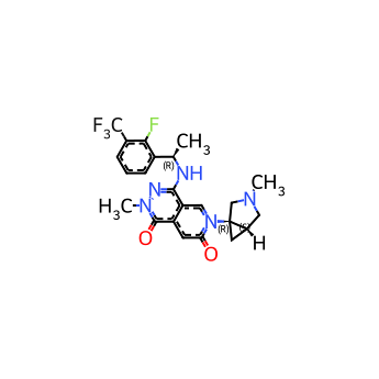 C[C@@H](Nc1nn(C)c(=O)c2cc(=O)n([C@]34C[C@H]3CN(C)C4)cc12)c1cccc(C(F)(F)F)c1F